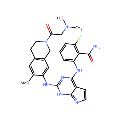 COc1cc2c(cc1Nc1nc(Nc3cccc(F)c3C(N)=O)c3ccnc-3[nH]1)CN(C(=O)CN(C)C)CC2